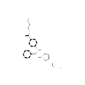 COCO[C@H]1CCN(C[C@H](c2ccccc2)N(C)c2ccc(C(=O)NCCCO)cc2)C1